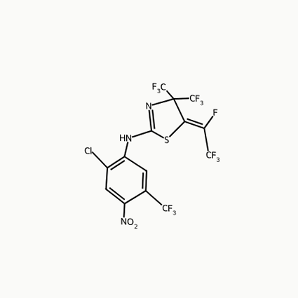 O=[N+]([O-])c1cc(Cl)c(NC2=NC(C(F)(F)F)(C(F)(F)F)C(=C(F)C(F)(F)F)S2)cc1C(F)(F)F